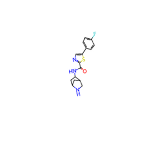 O=C(NC1CC2CC1CN2)c1ncc(-c2ccc(F)cc2)s1